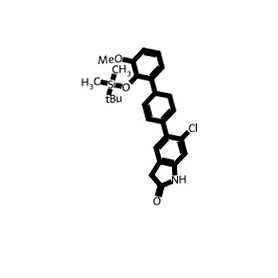 COC1C=CC=C(C2C=CC(c3cc4c(cc3Cl)NC(=O)C4)=CC2)C1O[Si](C)(C)C(C)(C)C